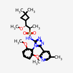 COc1cccc(OC)c1-n1c(NS(=O)(=O)[C@H](C)[C@H](OC)C2CC(C)(C)C2)nnc1-c1cncc(C)c1